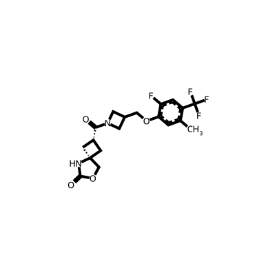 Cc1cc(OCC2CN(C(=O)[C@H]3C[C@@]4(COC(=O)N4)C3)C2)c(F)cc1C(F)(F)F